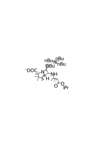 C/C(=C\C(=O)OC(C)C)NC1C(=O)N2[C@@H]1SC(C)(C)[C@@H]2C(=O)[O-].CCCC[N+](CCCC)(CCCC)CCCC